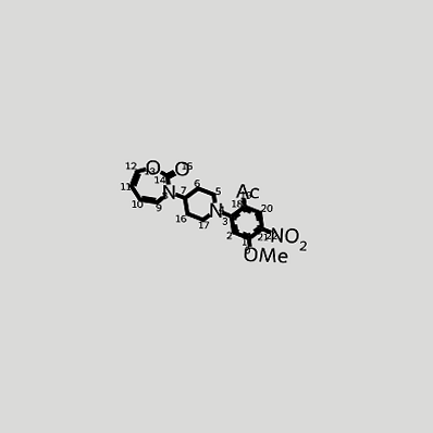 COc1cc(N2CCC(N3C=CC=COC3=O)CC2)c(C(C)=O)cc1[N+](=O)[O-]